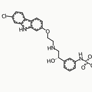 CS(=O)(=O)Nc1cccc([C@H](O)CNCCOc2ccc3c(c2)[nH]c2cc(Cl)ccc23)c1